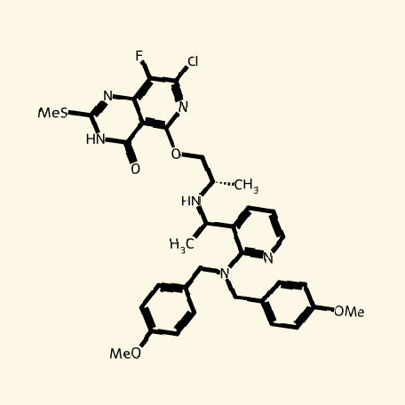 COc1ccc(CN(Cc2ccc(OC)cc2)c2ncccc2C(C)N[C@@H](C)COc2nc(Cl)c(F)c3nc(SC)[nH]c(=O)c23)cc1